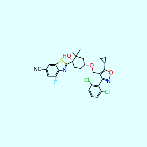 CC1(C)C[C@H](OCc2c(-c3c(Cl)cccc3Cl)noc2C2CC2)CC[C@@]1(O)c1nc2c(F)cc(C#N)cc2s1